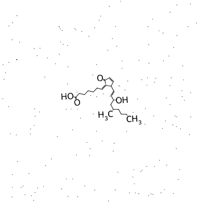 CCCCC(C)CC(O)C=CC1C=CC(=O)C1=CCCCCCC(=O)O